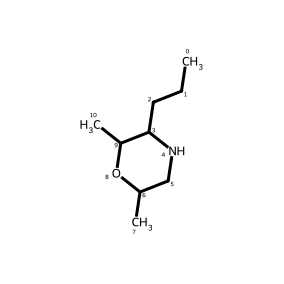 CCCC1NCC(C)OC1C